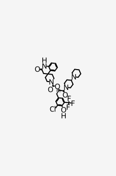 O=C1CC2(CCN(C(=O)O[C@H](Cc3cc(Cl)c(O)c(C(F)(F)F)c3)C(=O)N3CCC(N4CCCCC4)CC3)CC2)c2ccccc2N1